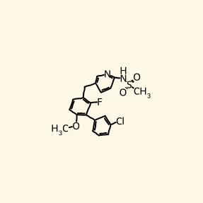 COc1ccc(Cc2ccc(NS(C)(=O)=O)nc2)c(F)c1-c1cccc(Cl)c1